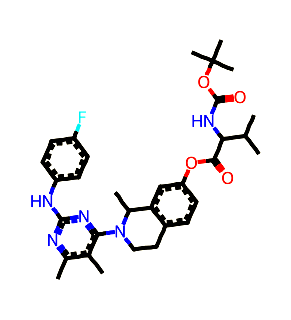 Cc1nc(Nc2ccc(F)cc2)nc(N2CCc3ccc(OC(=O)C(NC(=O)OC(C)(C)C)C(C)C)cc3C2C)c1C